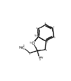 CC(C)C1(CC#N)Cc2ccccc2O1